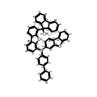 CC1(c2cccc3c2oc2c(N(c4ccc(-c5ccccc5)cc4)c4ccc5c(c4)oc4ccccc45)cccc23)c2ccccc2-c2ccccc21